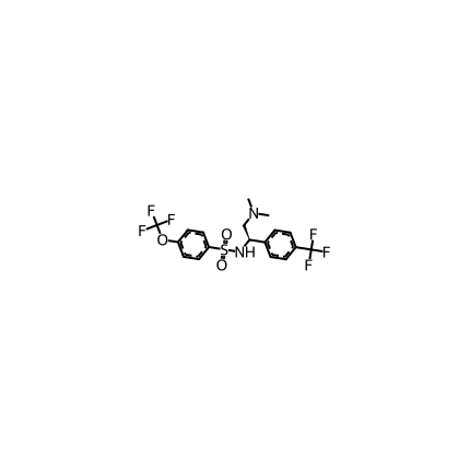 CN(C)C[C@H](NS(=O)(=O)c1ccc(OC(F)(F)F)cc1)c1ccc(C(F)(F)F)cc1